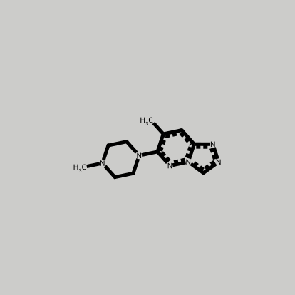 Cc1cc2nncn2nc1N1CCN(C)CC1